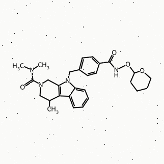 CC1CN(C(=O)N(C)C)Cc2c1c1ccccc1n2Cc1ccc(C(=O)NOC2CCCCO2)cc1